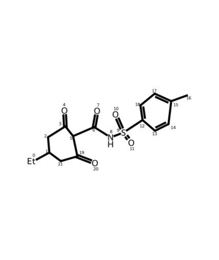 CCC1CC(=O)C(C(=O)NS(=O)(=O)c2ccc(C)cc2)C(=O)C1